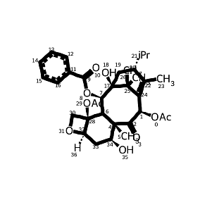 CC(=O)O[C@H]1C(=O)[C@@]2(C)C([C@@H](OC(=O)c3ccccc3)[C@]3(O)C[C@H](C(C)C)C(C)=C1C3(C)C)[C@@]1(OC(C)=O)CO[C@@H]1C[C@@H]2O